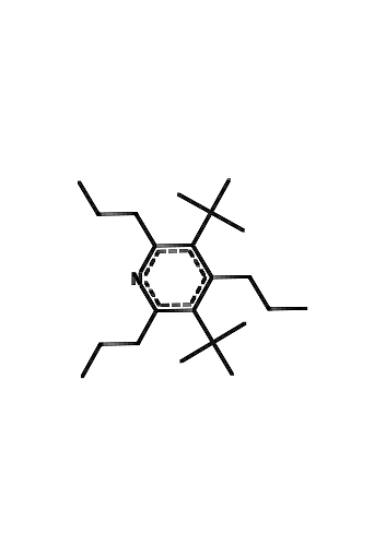 CCCc1nc(CCC)c(C(C)(C)C)c(CCC)c1C(C)(C)C